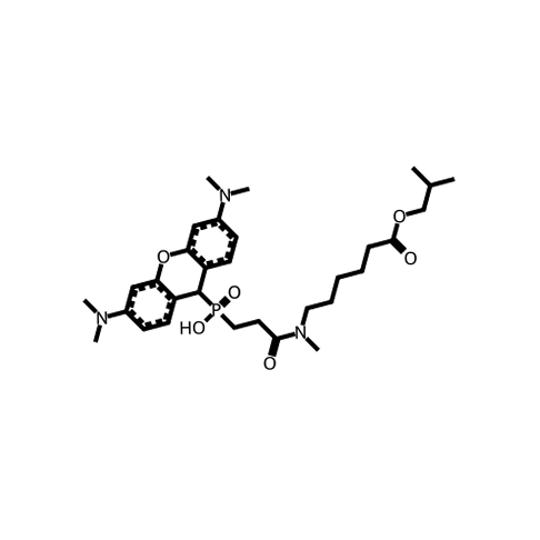 CC(C)COC(=O)CCCCCN(C)C(=O)CCP(=O)(O)C1c2ccc(N(C)C)cc2Oc2cc(N(C)C)ccc21